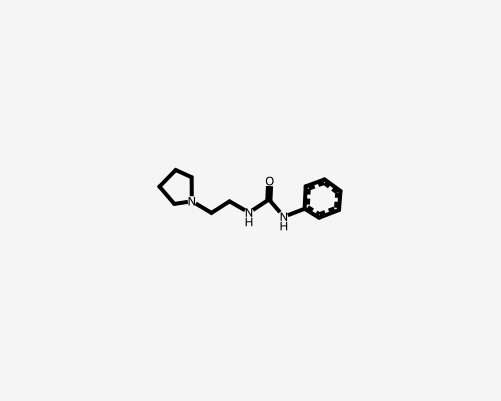 O=C(NCCN1CCCC1)Nc1ccccc1